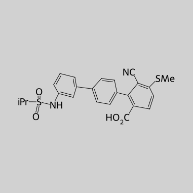 CSc1ccc(C(=O)O)c(-c2ccc(-c3cccc(NS(=O)(=O)C(C)C)c3)cc2)c1C#N